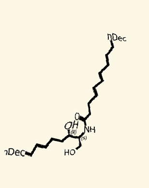 CCCCCCCCCCCCCCCCCCCC(=O)N[C@@H](CO)[C@H](O)CCCCCCCCCCCCCCC